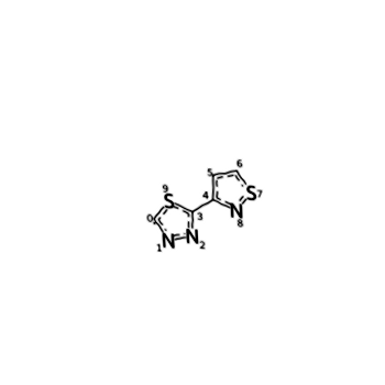 [c]1nnc(-c2ccsn2)s1